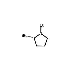 CCC(C)[C@H]1CCCN1CC